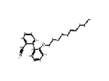 CCCCCCCCCCOc1ccccc1-c1ccccc1C#N